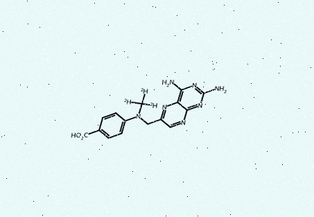 [2H]C([2H])([2H])N(Cc1cnc2nc(N)nc(N)c2n1)c1ccc(C(=O)O)cc1